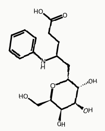 O=C(O)CCC(C[C@@H]1O[C@H](CO)[C@H](O)[C@H](O)[C@H]1O)Nc1ccccc1